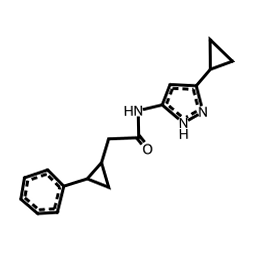 O=C(CC1CC1c1ccccc1)Nc1cc(C2CC2)n[nH]1